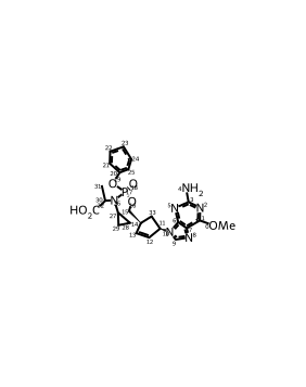 COc1nc(N)nc2c1ncn2[C@H]1C=C[C@@H](COP(=O)(Oc2ccccc2)N(C2CC2)C(C)C(=O)O)C1